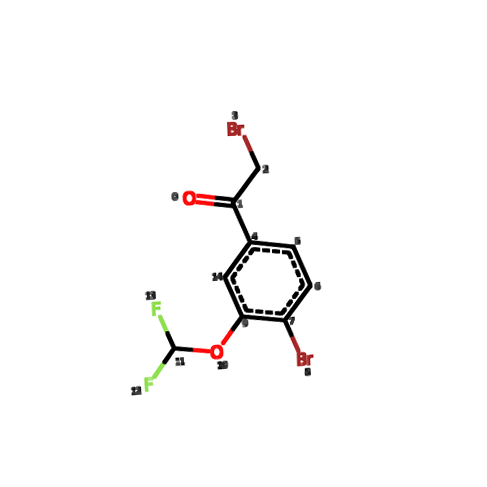 O=C(CBr)c1ccc(Br)c(OC(F)F)c1